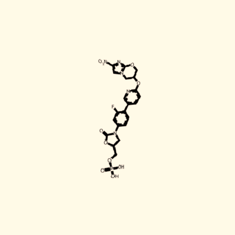 O=C1OC(COP(=O)(O)O)CN1c1ccc(-c2ccc(OC3COc4nc([N+](=O)[O-])cn4C3)nc2)c(F)c1